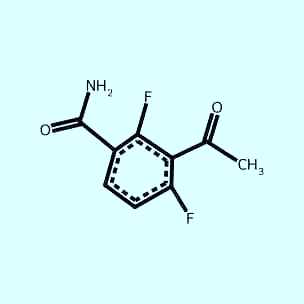 CC(=O)c1c(F)ccc(C(N)=O)c1F